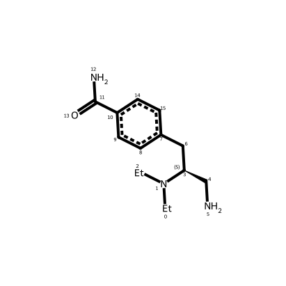 CCN(CC)[C@H](CN)Cc1ccc(C(N)=O)cc1